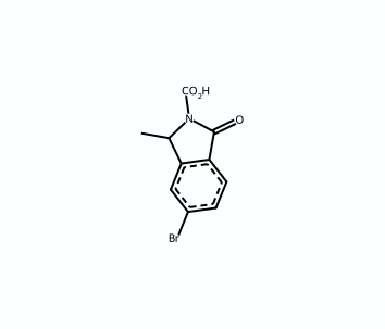 CC1c2cc(Br)ccc2C(=O)N1C(=O)O